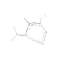 Cc1c(S)cccc1C(C)C